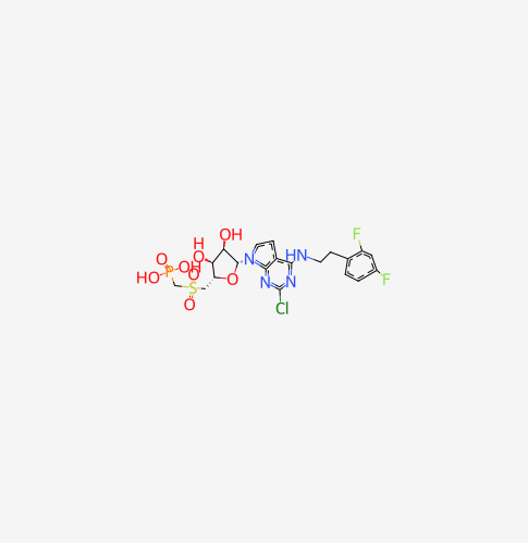 O=P(O)(O)CS(=O)(=O)C[C@H]1O[C@@H](n2ccc3c(NCCc4ccc(F)cc4F)nc(Cl)nc32)[C@H](O)[C@@H]1O